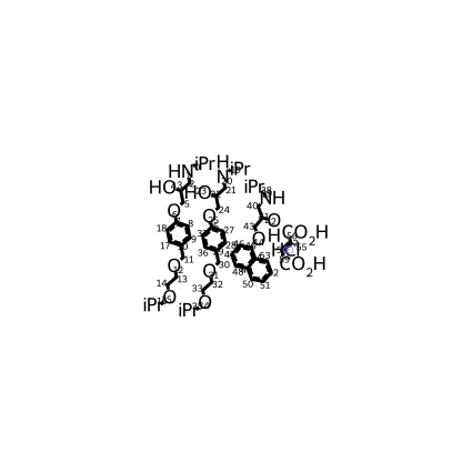 CC(C)NCC(O)COc1ccc(COCCOC(C)C)cc1.CC(C)NCC(O)COc1ccc(COCCOC(C)C)cc1.CC(C)NCC(O)COc1cccc2ccccc12.Cl.O=C(O)/C=C/C(=O)O